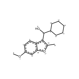 COc1ccc2c(C(O)C3CCCCC3)c(C)oc2c1